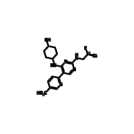 CC[C@H](F)CNc1ncc(-c2ccc(C(=O)O)cn2)c(NC2CCC(O)CC2)n1